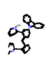 C=C/N=C(\C=C/C)c1ccccc1Cc1ccc(-n2c3ccccc3c3ccccc32)cc1-c1cccc[n+]1CCC